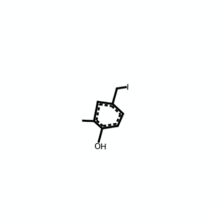 Cc1cc(CI)ccc1O